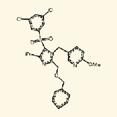 COc1ccc(Cn2c(COCc3ccccc3)nc(C(C)C)c2S(=O)(=O)c2cc(Cl)cc(Cl)c2)cn1